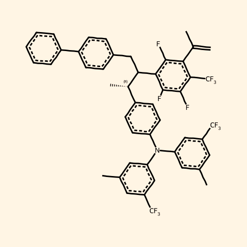 C=C(C)c1c(F)c(C(Cc2ccc(-c3ccccc3)cc2)[C@@H](C)c2ccc(N(c3cc(C)cc(C(F)(F)F)c3)c3cc(C)cc(C(F)(F)F)c3)cc2)c(F)c(F)c1C(F)(F)F